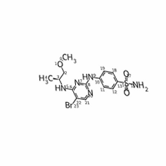 COC[C@H](C)Nc1nc(Nc2ccc(S(N)(=O)=O)cc2)ncc1Br